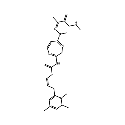 C=C(C/C=C\CC1=CC(C)=CC(C)N1C)NC1=NC=CC(N(C)/N=C(/C)C(=C)CNC)=NC1